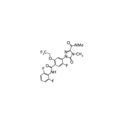 CNC(=O)c1nn(-c2cc(OCC(F)(F)F)c(C(=O)Nc3c(F)cccc3F)cc2F)c(=O)n1C